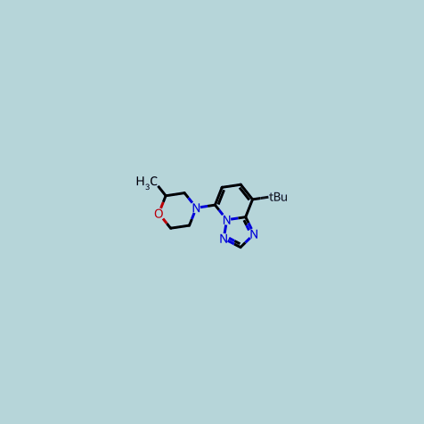 CC1CN(c2ccc(C(C)(C)C)c3ncnn23)CCO1